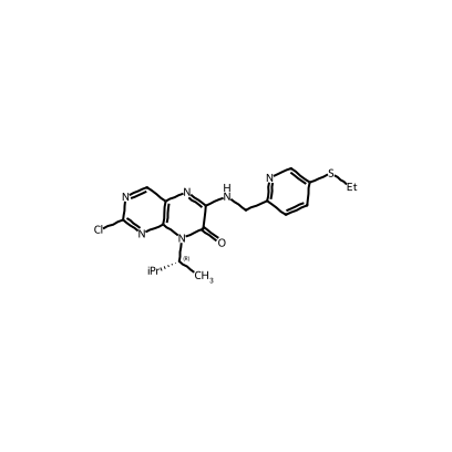 CCSc1ccc(CNc2nc3cnc(Cl)nc3n([C@H](C)C(C)C)c2=O)nc1